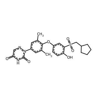 Cc1cc(-n2ncc(=O)[nH]c2=O)cc(C)c1Oc1ccc(O)c(S(=O)(=O)CC2CCCC2)c1